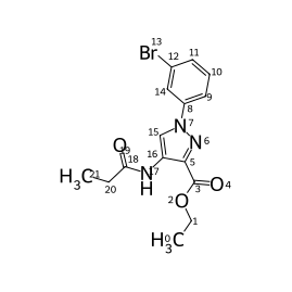 CCOC(=O)c1nn(-c2cccc(Br)c2)cc1NC(=O)CC